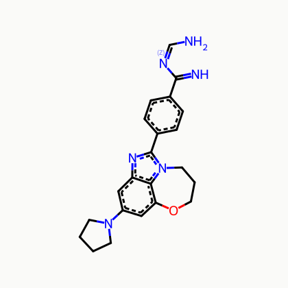 N=C(/N=C\N)c1ccc(-c2nc3cc(N4CCCC4)cc4c3n2CCCO4)cc1